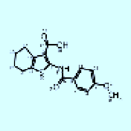 COc1ccc(C(=O)Nc2sc3c(c2C(=O)O)CCCC3)cc1